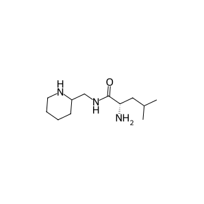 CC(C)C[C@H](N)C(=O)NCC1CCCCN1